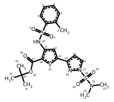 Cc1ccccc1S(=O)(=O)Nc1cc(-c2ccn(S(=O)(=O)N(C)C)n2)sc1C(=O)OC(C)(C)C